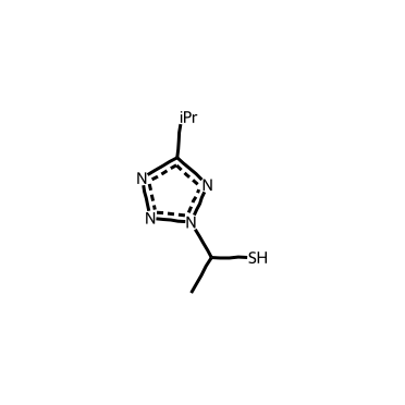 CC(C)c1nnn(C(C)S)n1